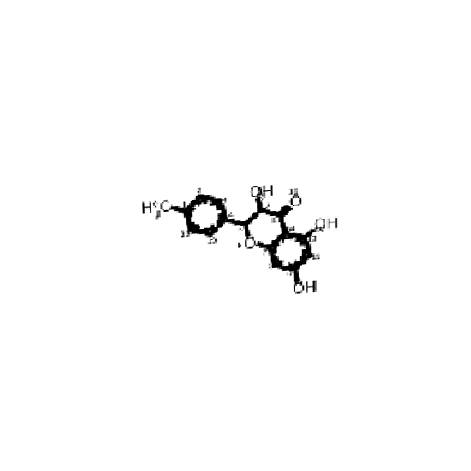 Cc1ccc(C2Oc3cc(O)cc(O)c3C(=O)C2O)cc1